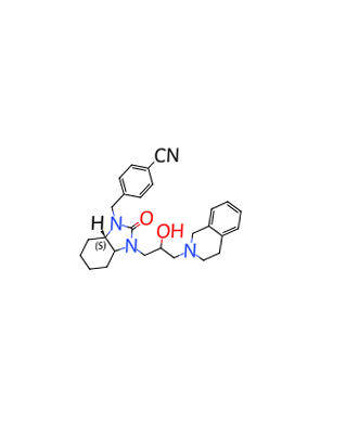 N#Cc1ccc(CN2C(=O)N(CC(O)CN3CCc4ccccc4C3)C3CCCC[C@@H]32)cc1